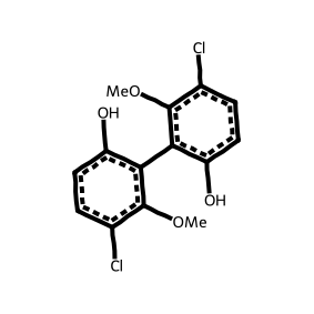 COc1c(Cl)ccc(O)c1-c1c(O)ccc(Cl)c1OC